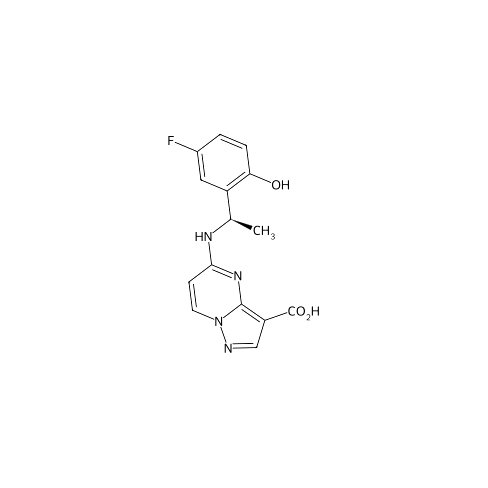 C[C@@H](Nc1ccn2ncc(C(=O)O)c2n1)c1cc(F)ccc1O